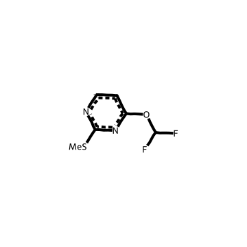 CSc1n[c]cc(OC(F)F)n1